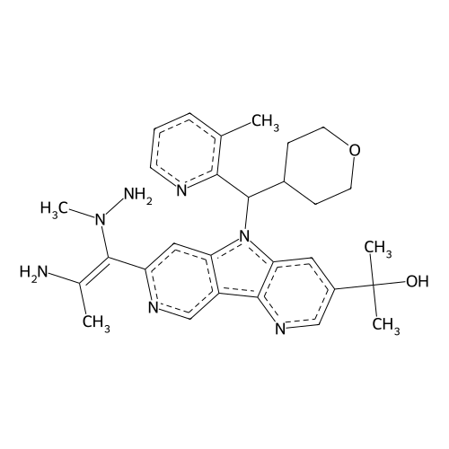 C/C(N)=C(\c1cc2c(cn1)c1ncc(C(C)(C)O)cc1n2C(c1ncccc1C)C1CCOCC1)N(C)N